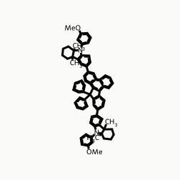 COc1cccc(N2c3ccc(-c4ccc5c(c4)C(c4ccccc4)(c4ccccc4)c4c-5c5ccccc5c5cc(-c6ccc7c(c6)C6(C)CCCCC6(C)N7c6cccc(OC)c6)ccc45)cc3C3(C)CCCCC23C)c1